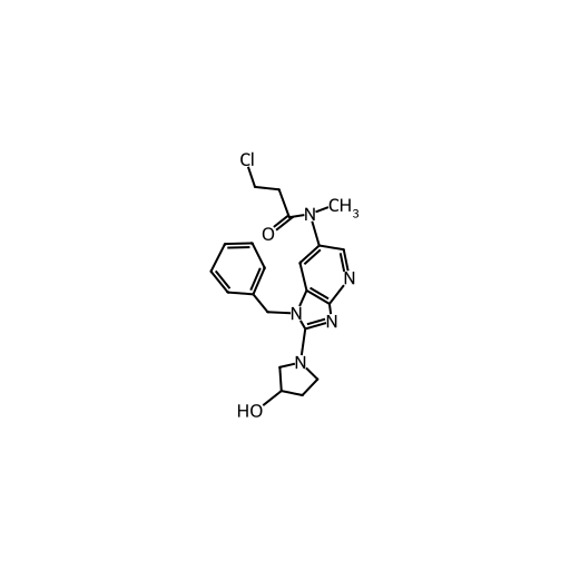 CN(C(=O)CCCl)c1cnc2nc(N3CCC(O)C3)n(Cc3ccccc3)c2c1